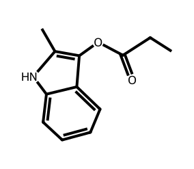 CCC(=O)Oc1c(C)[nH]c2ccccc12